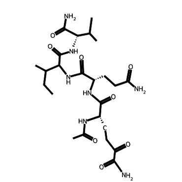 CCC(C)C(NC(=O)[C@H](CCC(N)=O)NC(=O)[C@H](CCC(=O)C(N)=O)NC(C)=O)C(=O)N[C@H](C(N)=O)C(C)C